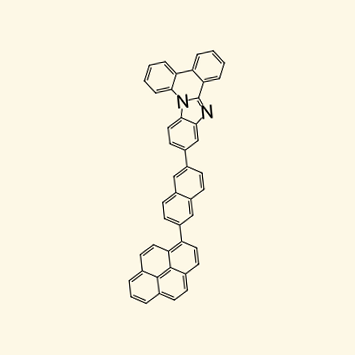 c1cc2ccc3ccc(-c4ccc5cc(-c6ccc7c(c6)nc6c8ccccc8c8ccccc8n76)ccc5c4)c4ccc(c1)c2c34